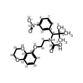 CC(C)(C)C(c1cccc([N+](=O)[O-])c1)N(CCOc1cccc2c1OCCO2)C(=O)O